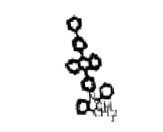 C=C(C1CCCCC1)N(c1ccc(-c2c3ccccc3c(-c3ccc(-c4ccccc4)cc3)c3ccccc23)cc1)C1C=CCCC1C